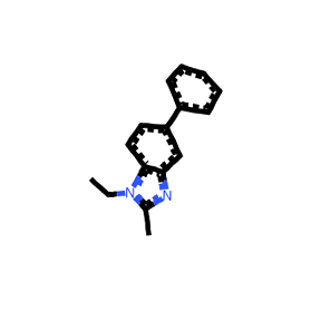 CCn1c(C)nc2cc(-c3ccccc3)ccc21